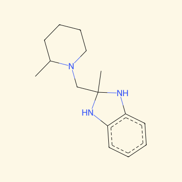 CC1CCCCN1CC1(C)Nc2ccccc2N1